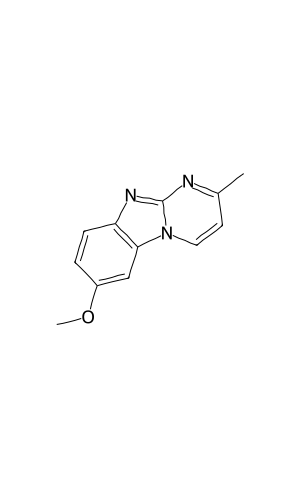 COc1ccc2nc3nc(C)ccn3c2c1